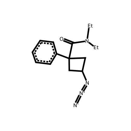 CCN(CC)C(=O)C1(c2ccccc2)CC(N=[N+]=[N-])C1